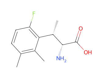 Cc1ccc(F)c([C@H](C)[C@@H](N)C(=O)O)c1C